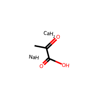 CC(=O)C(=O)O.[CaH2].[NaH]